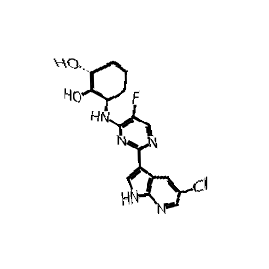 OC1[C@H](O)CCC[C@H]1Nc1nc(-c2c[nH]c3ncc(Cl)cc23)ncc1F